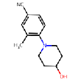 Cc1cc(C#N)ccc1N1CCC(O)CC1